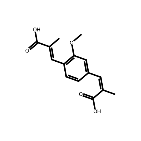 COc1cc(C=C(C)C(=O)O)ccc1C=C(C)C(=O)O